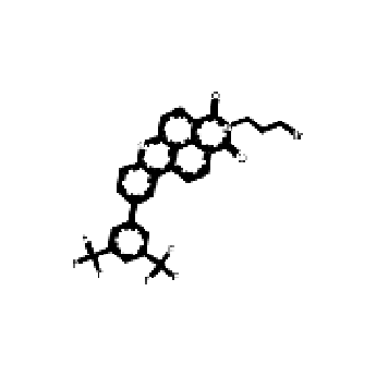 O=c1c2ccc3oc4ccc(-c5cc(C(F)(F)F)cc(C(F)(F)F)c5)cc4c4ccc(c(=O)n1CCCBr)c2c34